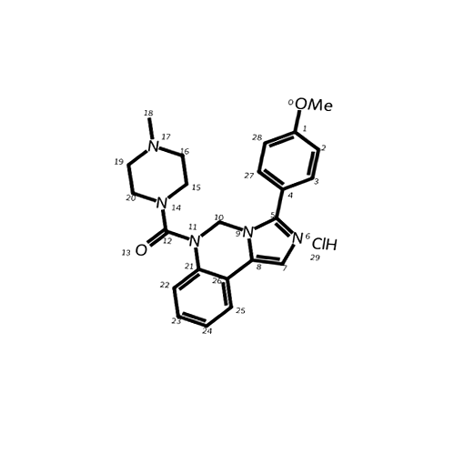 COc1ccc(-c2ncc3n2CN(C(=O)N2CCN(C)CC2)c2ccccc2-3)cc1.Cl